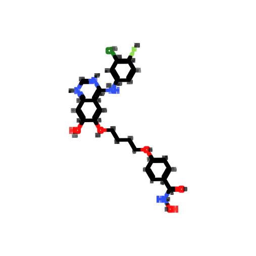 O=C(NO)c1ccc(OCCCCOc2cc3c(Nc4ccc(F)c(Cl)c4)ncnc3cc2O)cc1